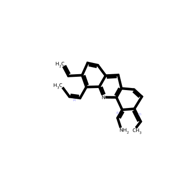 C=Cc1ccc2cc3ccc(=C/C)/c(=C\N)c3nc2c1/C=C\C